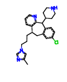 Cc1cn(CCCC2Cc3cc(Cl)ccc3C(C3CCNCC3)c3ncccc32)cn1